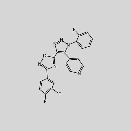 Fc1ccc(-c2noc(-c3nnn(-c4ccccc4F)c3-c3ccncc3)n2)cc1F